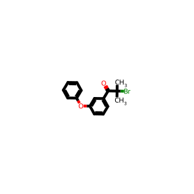 CC(C)(Br)C(=O)c1cccc(Oc2ccccc2)c1